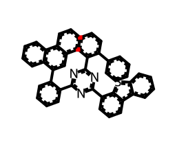 c1ccc(-c2ccccc2-c2nc(-c3ccccc3-c3cc4ccccc4c4ccccc34)nc(-c3cccc4c3sc3ccccc34)n2)cc1